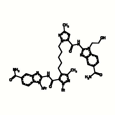 CCCn1c(NC(=O)c2c(CCCCCn3nc(C)cc3C(=O)Nc3nc4cc(C(N)=O)ccc4n3CCO)c(C)nn2CC)nc2cc(C(N)=O)ccc21